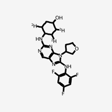 [2H]C1CC(O)C([2H])C([2H])C1Nc1ncc2nc(Nc3c(F)cc(F)cc3F)n(C3CCOC3)c2n1